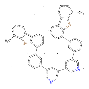 Cc1cccc2c1sc1c(-c3cccc(-c4cncc(-c5cncc(-c6cccc(-c7cccc8c7sc7c(C)cccc78)c6)c5)c4)c3)cccc12